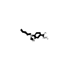 CCCCCn1cnc2cc(C(N)=O)ccc21